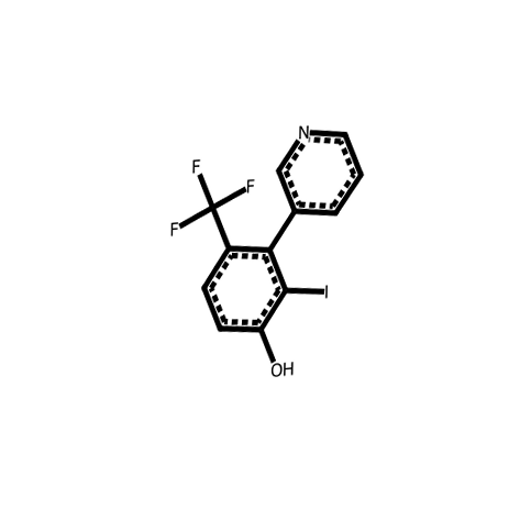 Oc1ccc(C(F)(F)F)c(-c2cccnc2)c1I